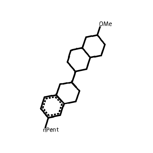 CCCCCc1ccc2c(c1)CCC(C1CCC3CC(OC)CCC3C1)C2